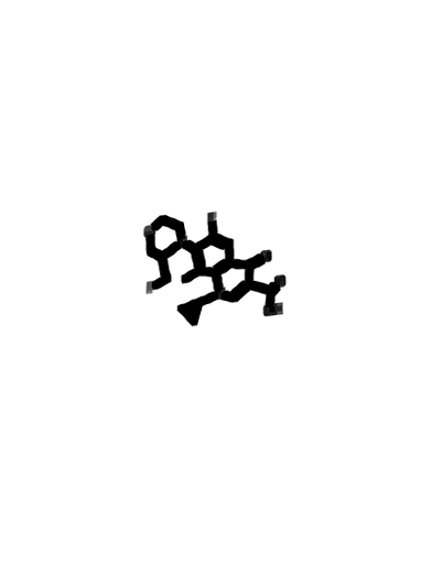 Cc1c(N2CCOCC2CF)c(F)cc2c(=O)c(C(=O)O)cn(C3CC3)c12